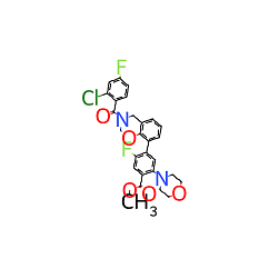 COC(=O)c1cc(F)c(-c2cccc3c2OCN(C(=O)c2ccc(F)cc2Cl)C3)cc1N1CCOCC1